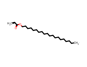 [CH2]CCCCCCCCCCCCCCCCCCCOC(=O)C=C